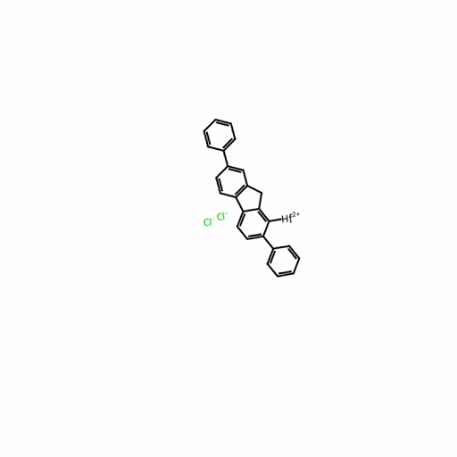 [Cl-].[Cl-].[Hf+2][c]1c(-c2ccccc2)ccc2c1Cc1cc(-c3ccccc3)ccc1-2